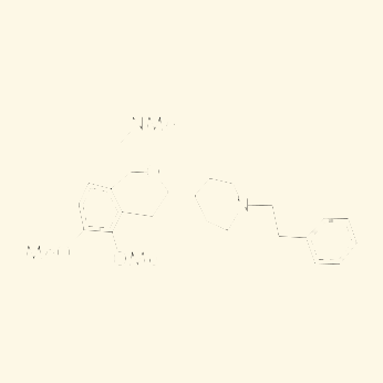 CNC[C@@H]1O[C@H](C2CCN(CCc3ccccc3)CC2)Cc2c1ccc(OC)c2OC